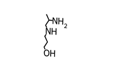 CC(N)CNCCCO